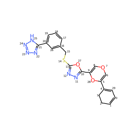 C1=CCCC(C2=COC=C(c3nnc(SCc4cccc(-c5nnn[nH]5)c4)o3)O2)=C1